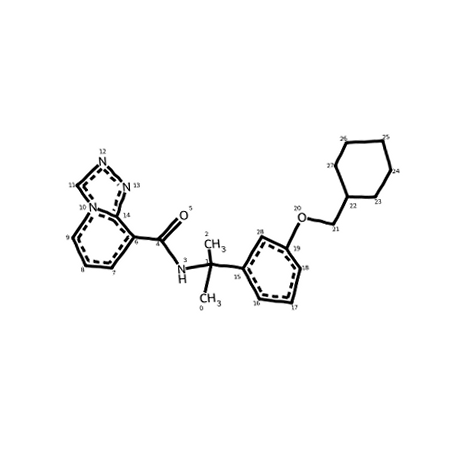 CC(C)(NC(=O)c1cccn2cnnc12)c1cccc(OCC2CCCCC2)c1